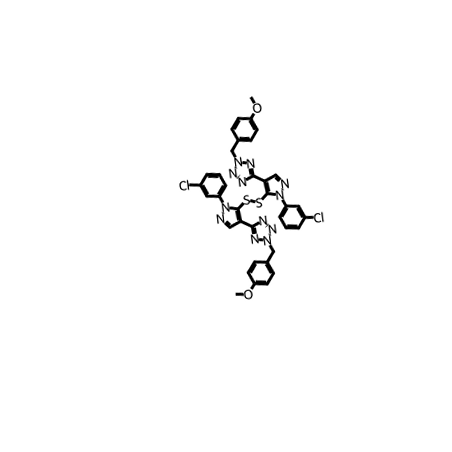 COc1ccc(Cn2nnc(-c3cnn(-c4cccc(Cl)c4)c3SSc3c(-c4nnn(Cc5ccc(OC)cc5)n4)cnn3-c3cccc(Cl)c3)n2)cc1